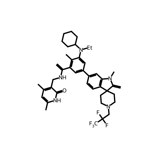 C=C(NCc1c(C)cc(C)[nH]c1=O)c1cc(-c2ccc3c(c2)N(C)C(=C)C32CCN(CC(F)(F)C(F)(F)F)CC2)cc(N(CC)C2CCCCC2)c1C